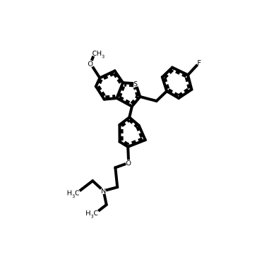 CCN(CC)CCOc1ccc(-c2c(Cc3ccc(F)cc3)sc3cc(OC)ccc23)cc1